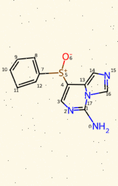 Nc1ncc([S+]([O-])c2ccccc2)c2cncn12